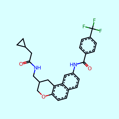 O=C(CC1CC1)NCC1COc2ccc3ccc(NC(=O)c4ccc(C(F)(F)F)cc4)cc3c2C1